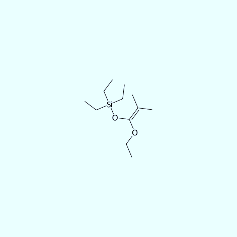 CCOC(O[Si](CC)(CC)CC)=C(C)C